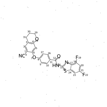 N#Cc1cc2c(cc1Oc1ccc(C(=O)Nc3nc4c(F)cc(F)cc4s3)cc1)OCCC2